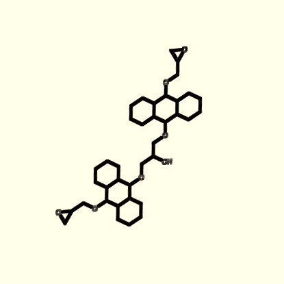 OC(COC1C2CCCCC2C(OCC2CO2)C2CCCCC21)COC1C2CCCCC2C(OCC2CO2)C2CCCCC21